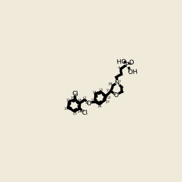 O=P(O)(O)CCCN1CCOC(c2ccc(OCc3c(Cl)cccc3Cl)cc2)C1